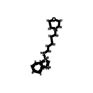 c1ccc2c(c1)ncn2SCCCCCN1CCOCC1